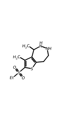 CCS(=O)(=O)c1sc2c(c1C)C(C)NNCC2